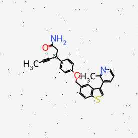 CC#C[C@@H](CC(N)=O)c1ccc(OCc2ccc3scc(-c4cccnc4C)c3c2)cc1